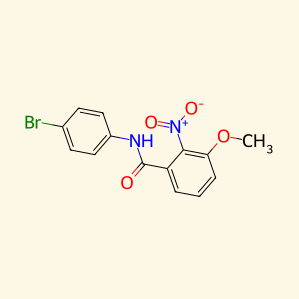 COc1cccc(C(=O)Nc2ccc(Br)cc2)c1[N+](=O)[O-]